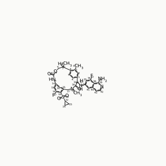 Cc1cc2ccc1[C@@H](C)COC(=O)Nc1cc(F)c(S(=O)(=O)C3CC3)c(c1)CN(C)C(=O)[C@@H]2Nc1cc(F)c2c(N)nccc2c1